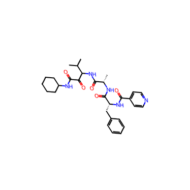 CC(C)C(NC(=O)[C@H](C)NC(=O)[C@@H](Cc1ccccc1)NC(=O)c1ccncc1)C(=O)C(=O)NC1CCCCC1